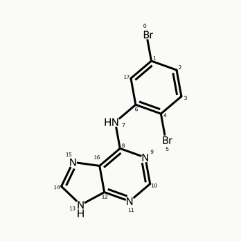 Brc1ccc(Br)c(Nc2ncnc3[nH]cnc23)c1